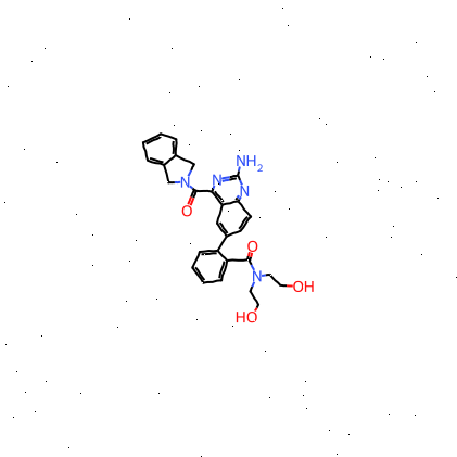 Nc1nc(C(=O)N2Cc3ccccc3C2)c2cc(-c3ccccc3C(=O)N(CCO)CCO)ccc2n1